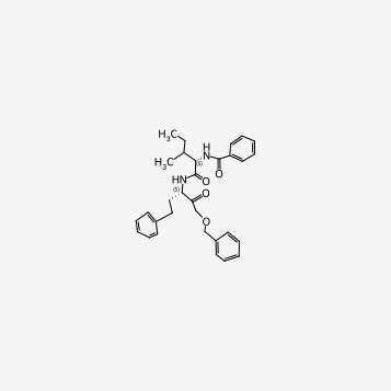 CCC(C)[C@H](NC(=O)c1ccccc1)C(=O)N[C@@H](CCc1ccccc1)C(=O)COCc1ccccc1